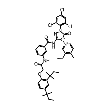 CCc1c[n+](-[c-]2c(NC(=O)c3cccc(NC(=O)COc4ccc(C(C)(C)CC)cc4C(C)(C)CC)c3)nn(-c3c(Cl)cc(Cl)cc3Cl)c2=O)ccc1C